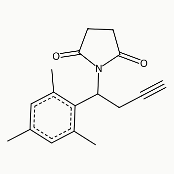 C#CCC(c1c(C)cc(C)cc1C)N1C(=O)CCC1=O